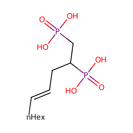 CCCCCCC=CCC(CP(=O)(O)O)P(=O)(O)O